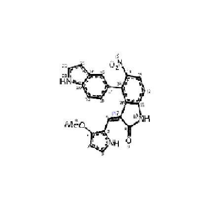 COc1cc[nH]c1/C=C1\C(=O)Nc2ccc([N+](=O)[O-])c(-c3ccc4[nH]ccc4c3)c21